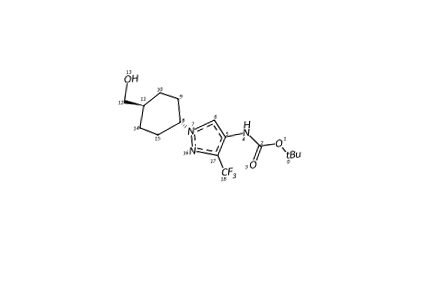 CC(C)(C)OC(=O)Nc1cn([C@H]2CC[C@H](CO)CC2)nc1C(F)(F)F